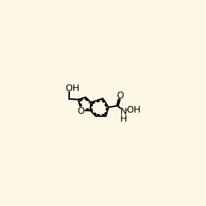 O=C(NO)c1ccc2oc(CO)cc2c1